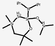 CC(C)N(C(C)C)[Si]1(O[SiH](C)C)OC(C)(C)C[Si](C)(C)[SiH2]1